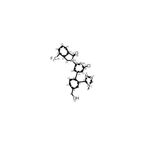 Cn1cnnc1-c1cc(CO)ccc1-c1cc(Cl)nc(N2Cc3c(cccc3C(F)(F)F)C2=O)c1